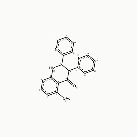 CC(=O)Oc1cccc2c1C(=O)C(c1ccccn1)C(c1ccccn1)N2